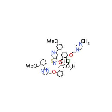 COCc1ccccc1-c1nccc(COc2ccccc2CC(Oc2nsc3cnc(-c4cccc(OC)c4)c(-c4ccc(OCCN5CCN(C)CC5)c(Cl)c4C)c23)C(=O)O)n1